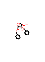 O[C@@H]1CO[C@H](COCc2ccccc2)[C@H]1OCc1ccccc1